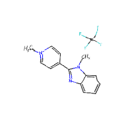 Cn1c(-c2cc[n+](C)cc2)nc2ccccc21.F[B-](F)(F)F